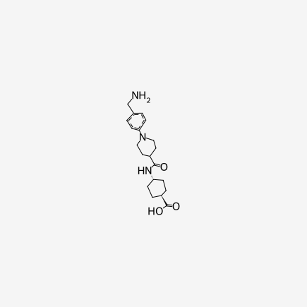 NCc1ccc(N2CCC(C(=O)N[C@H]3CC[C@H](C(=O)O)CC3)CC2)cc1